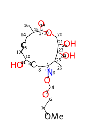 COCCOCO/N=C1\CCC(O)CCCC(C)C(=O)OCC(O)C(O)C1C